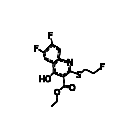 CCOC(=O)c1c(SCCF)nc2cc(F)c(F)cc2c1O